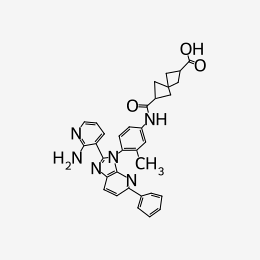 Cc1cc(NC(=O)C2CC3(CC(C(=O)O)C3)C2)ccc1-n1c(-c2cccnc2N)nc2ccc(-c3ccccc3)nc21